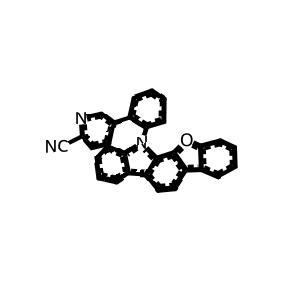 N#Cc1ccc(-c2ccccc2-n2c3ccccc3c3ccc4c5ccccc5oc4c32)cn1